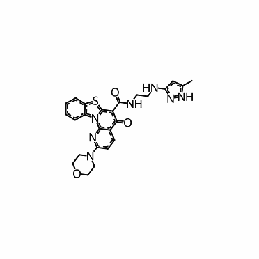 Cc1cc(NCCNC(=O)c2c(=O)c3ccc(N4CCOCC4)nc3n3c2sc2ccccc23)n[nH]1